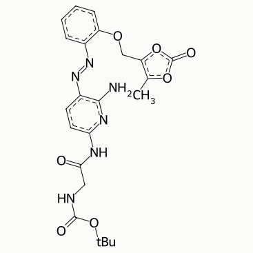 Cc1oc(=O)oc1COc1ccccc1N=Nc1ccc(NC(=O)CNC(=O)OC(C)(C)C)nc1N